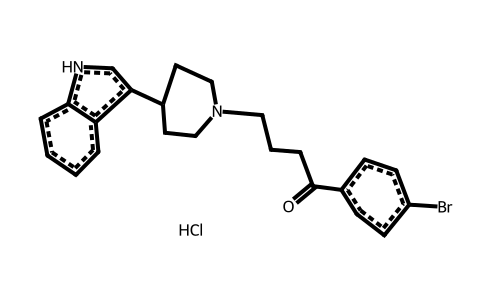 Cl.O=C(CCCN1CCC(c2c[nH]c3ccccc23)CC1)c1ccc(Br)cc1